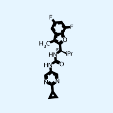 Cc1c([C@H](NC(=O)Nc2cnc(C3CC3)nc2)C(C)C)oc2c(F)cc(F)cc12